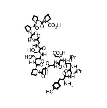 CC(C)C[C@H](NC(=O)[C@H](CC(C)C)NC(=O)[C@@H](N)Cc1ccc(O)cc1)C(=O)N[C@@H](CCC(=O)O)C(=O)NCC(=O)NCC(=O)N1CCC[C@H]1C(=O)N[C@@H](CO)C(=O)N[C@@H](CO)C(=O)NCC(=O)N[C@@H](C)C(=O)N1CCC[C@H]1C(=O)N1CCC[C@H]1C(=O)N1CCC[C@H]1C(=O)O